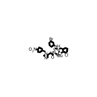 CC[C@H](C)[C@@H](CN(Cc1cccc(Cl)c1Cl)C(=S)Nc1cccc(Br)c1)NC(=O)Cc1cncn1Cc1ccc([N+](=O)[O-])cc1